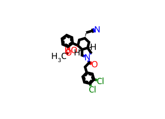 COc1ccccc1[C@]1(O)C[C@H](CC#N)C[C@H]2CN(C(=O)Cc3ccc(Cl)c(Cl)c3)C[C@H]21